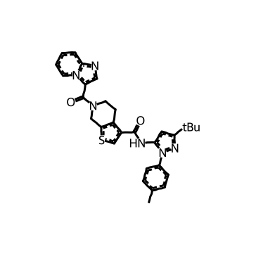 Cc1ccc(-n2nc(C(C)(C)C)cc2NC(=O)c2csc3c2CCN(C(=O)c2cnc4ccccn24)C3)cc1